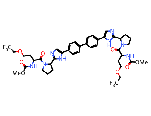 COC(=O)NC(CCOCC(F)(F)F)C(=O)N1CCCC1c1ncc(-c2ccc(-c3ccc(-c4cnc(C5CCCN5C(=O)C(CCOCC(F)(F)F)NC(=O)OC)[nH]4)cc3)cc2)[nH]1